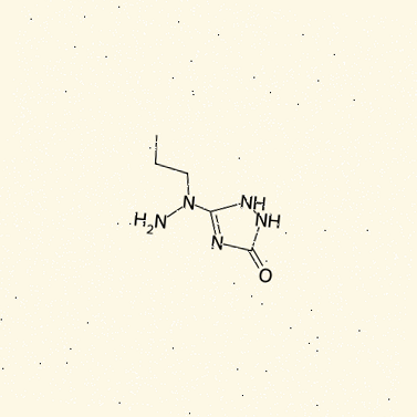 CCCN(N)c1nc(=O)[nH][nH]1